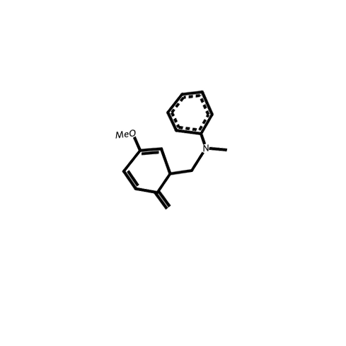 C=C1C=CC(OC)=CC1CN(C)c1ccccc1